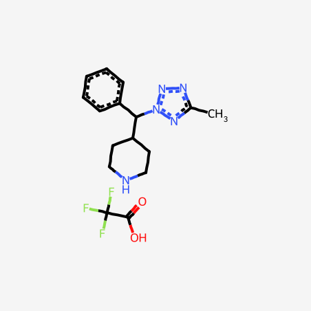 Cc1nnn(C(c2ccccc2)C2CCNCC2)n1.O=C(O)C(F)(F)F